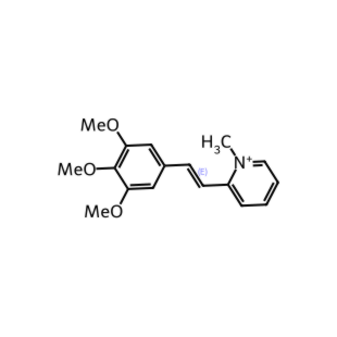 COc1cc(/C=C/c2cccc[n+]2C)cc(OC)c1OC